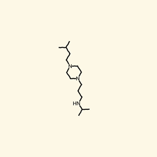 CC(C)CCN1CCN(CCCNC(C)C)CC1